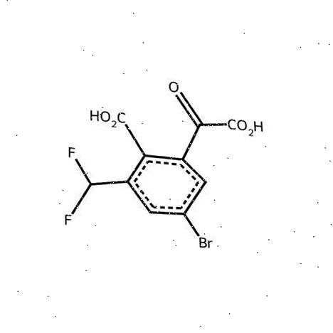 O=C(O)C(=O)c1cc(Br)cc(C(F)F)c1C(=O)O